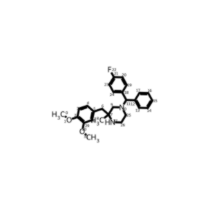 COc1ccc(CC2(C)CN(C(c3ccccc3)c3ccc(F)cc3)CCN2)cc1OC